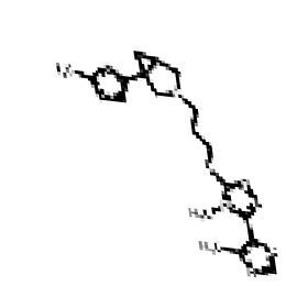 Cc1ccc(C23CC2CN(CCCSc2nnc(-c4ocnc4C)n2C)C3)s1